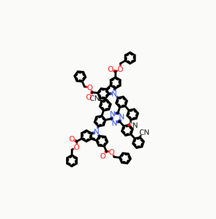 [C-]#[N+]c1cccc(-c2ccc(-n3c4ccc(C(=O)OCc5ccccc5)cc4c4cc(C(=O)OCc5ccccc5)ccc43)cc2-c2nc(-c3ccc(-c4ccccc4C#N)cc3)nc(-c3cc(-n4c5ccc(C(=O)OCc6ccccc6)cc5c5cc(C(=O)OCc6ccccc6)ccc54)ccc3-c3cccc(C#N)c3)n2)c1